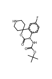 CC(C)(C)OC(=O)NN1C(=O)OC2(CCNCC2)c2cc(F)ccc21